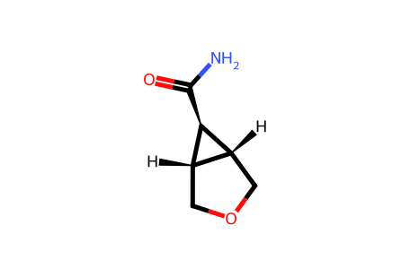 NC(=O)[C@H]1[C@@H]2COC[C@@H]21